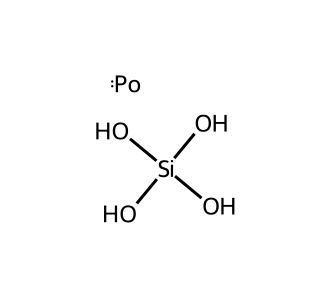 O[Si](O)(O)O.[Po]